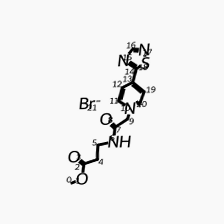 COC(=O)CCNC(=O)C[n+]1ccc(-c2ncns2)cc1.[Br-]